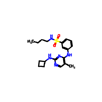 CCCCNS(=O)(=O)c1cccc(Nc2nc(NC3CCC3)ncc2C)c1